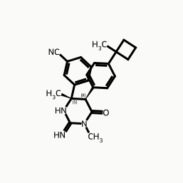 CN1C(=N)N[C@](C)(c2cccc(C#N)c2)[C@@H](c2ccc(C3(C)CCC3)cc2)C1=O